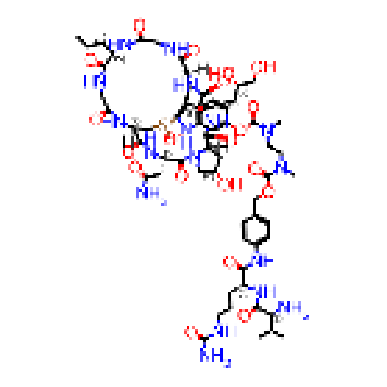 CC[C@H](C)[C@@H]1NC(=O)CNC(=O)[C@H]2Cc3c([nH]c4cc(OC(=O)N(C)CCN(C)C(=O)OCc5ccc(NC(=O)[C@H](CCCNC(N)=O)NC(=O)[C@@H](N)C(C)C)cc5)ccc34)[S+]([O-])C[C@H](NC(=O)CNC1=O)C(=O)N[C@@H](CC(N)=O)C(=O)N1C[C@H](O)C[C@H]1C(=O)N[C@@H]([C@@H](C)[C@@H](O)CO)C(=O)N2